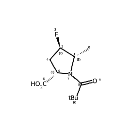 C[C@H]1[C@H](F)C[C@@H](C(=O)O)N1C(=O)C(C)(C)C